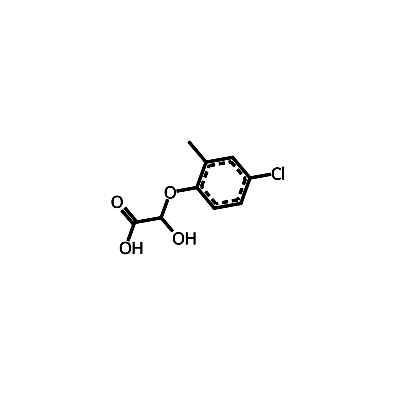 Cc1cc(Cl)ccc1OC(O)C(=O)O